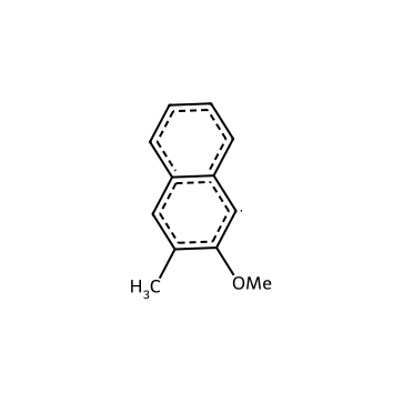 COc1[c]c2ccccc2cc1C